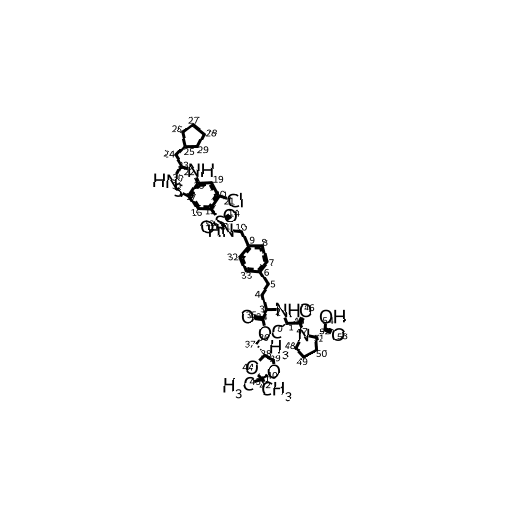 C[C@H](NC(CCc1ccc(CNS(=O)(=O)c2cc3c(cc2Cl)NC(CC2CCCC2)NS3)cc1)C(=O)OC[C@@H]1COC(C)(C)O1)C(=O)N1CCC[C@H]1C(=O)O